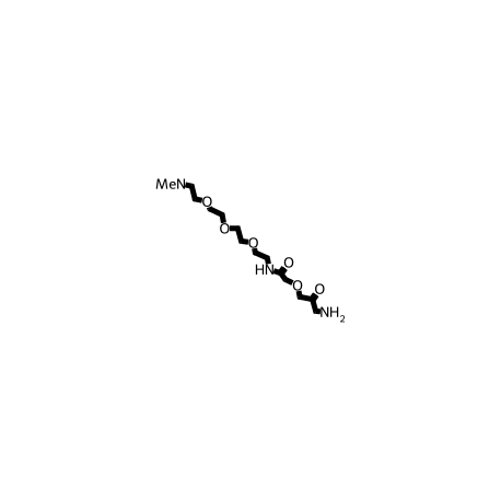 CNCCOCCOCCOCCNC(=O)COCC(=O)CN